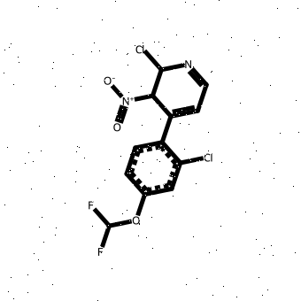 O=[N+]([O-])C1C(c2ccc(OC(F)F)cc2Cl)=CC=NC1Cl